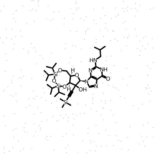 CC(C)CNc1nc2c(ncn2[C@@H]2O[C@@H]3CO[Si](C(C)C)(C(C)C)O[Si](C(C)C)(C(C)C)O[C@@H]3C2(O)C#C[Si](C)(C)C)c(=O)[nH]1